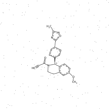 C#CC(=O)N1CCc2cc(OC)ccc2[C@@H]1c1ccc(-c2nc(C)no2)cc1